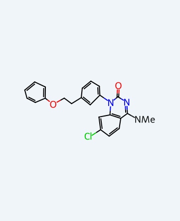 CNc1nc(=O)n(-c2cccc(CCOc3ccccc3)c2)c2cc(Cl)ccc12